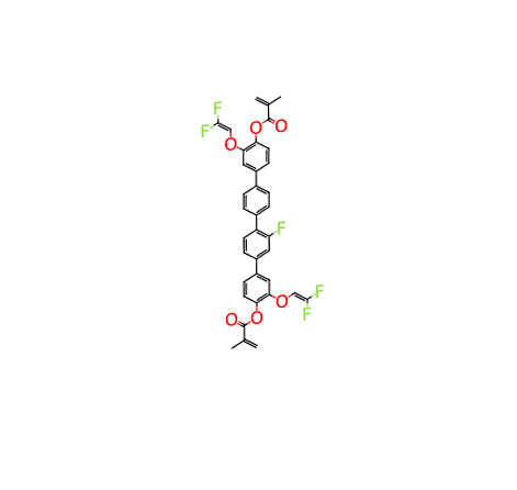 C=C(C)C(=O)Oc1ccc(-c2ccc(-c3ccc(-c4ccc(OC(=O)C(=C)C)c(OC=C(F)F)c4)cc3F)cc2)cc1OC=C(F)F